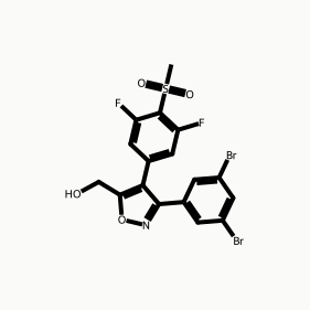 CS(=O)(=O)c1c(F)cc(-c2c(-c3cc(Br)cc(Br)c3)noc2CO)cc1F